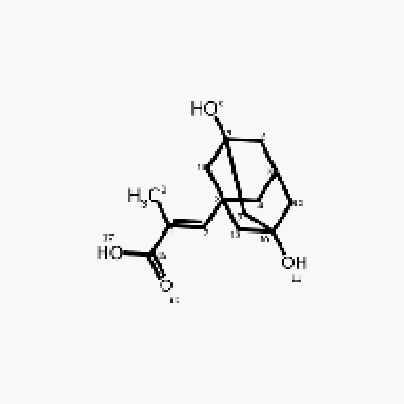 C/C(=C\C12CC3CC(O)(CC(O)(C3)C1)C2)C(=O)O